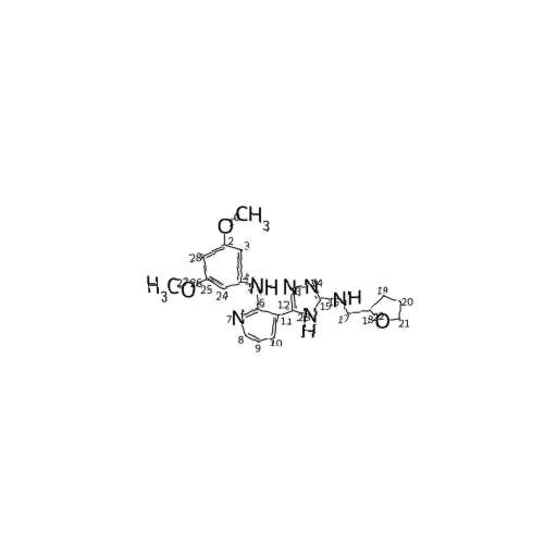 COc1cc(Nc2ncccc2-c2nnc(NCC3CCCO3)[nH]2)cc(OC)c1